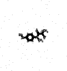 CCOc1ccc(N(C)C(=O)C(C)Br)cc1